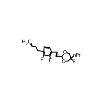 C=CCCc1ccc(/C=C/C2OCC(F)(CCC)CO2)c(F)c1F